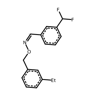 CCc1cccc(CO/N=[C]\c2cccc(C(F)F)c2)c1